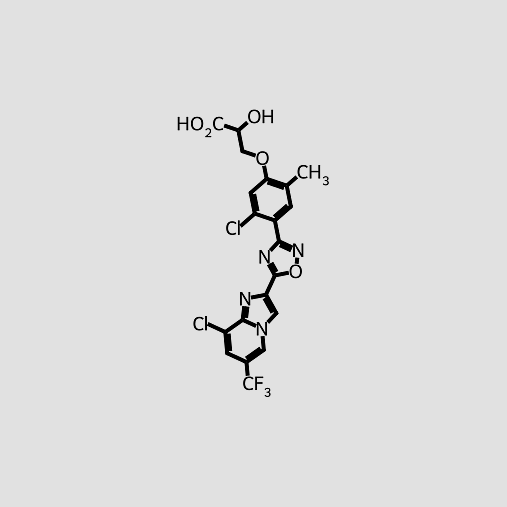 Cc1cc(-c2noc(-c3cn4cc(C(F)(F)F)cc(Cl)c4n3)n2)c(Cl)cc1OCC(O)C(=O)O